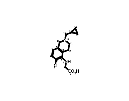 O=C(O)CNc1c(Cl)ccc2c1CCN(CC1CC1)C2